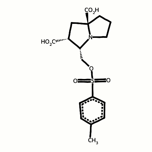 Cc1ccc(S(=O)(=O)OC[C@@H]2[C@H](C(=O)O)C[C@]3(C(=O)O)CCCN23)cc1